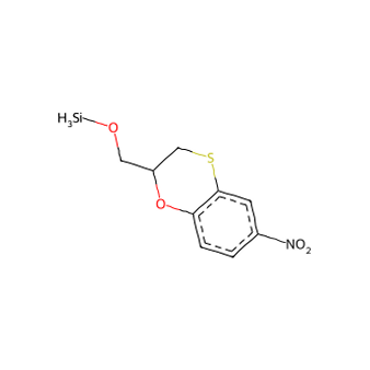 O=[N+]([O-])c1ccc2c(c1)SCC(CO[SiH3])O2